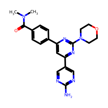 CN(C)C(=O)c1ccc(-c2cc(-c3cnc(N)nc3)nc(N3CCOCC3)n2)cc1